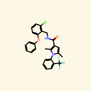 Cc1cc(C(=O)NCc2c(Cl)cccc2Oc2ccccc2)c(C)n1-c1ccccc1C(F)(F)F